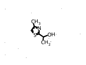 [CH2]C(O)c1nc(C)cs1